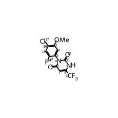 COc1cc(-n2c(=O)cc(C(F)(F)F)[nH]c2=O)c(F)cc1Cl